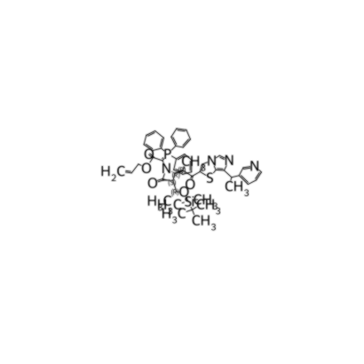 C=CCOC(=O)C(N1C(=O)[C@H]([C@@H](C)O[Si](C)(C)C(C)(C)C)[C@H]1[C@@H](C)C(=O)c1cn2cnc(C(C)c3cccnc3)c2s1)=P(c1ccccc1)(c1ccccc1)c1ccccc1